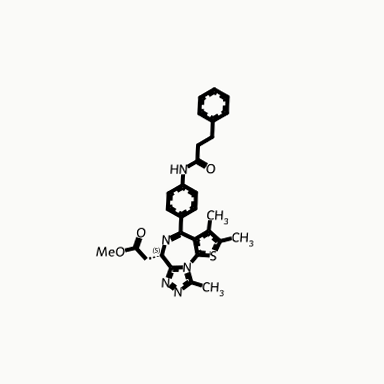 COC(=O)C[C@@H]1N=C(c2ccc(NC(=O)CCc3ccccc3)cc2)c2c(sc(C)c2C)-n2c(C)nnc21